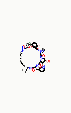 CC(C)C[C@H]1NC(=O)c2cccc(F)c2O[C@@H](C)C(=O)NCCCCCCC[C@@H](C)NC(=O)[C@H](Cc2cccnc2)N(C)C(=O)[C@H]2C[C@H](O)CN2C1=O